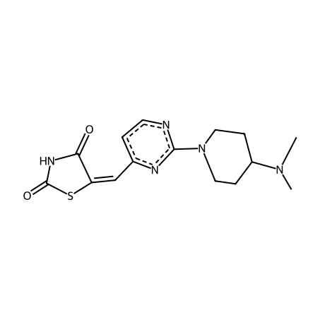 CN(C)C1CCN(c2nccc(C=C3SC(=O)NC3=O)n2)CC1